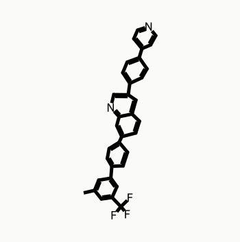 Cc1cc(-c2ccc(-c3ccc4cc(-c5ccc(-c6ccncc6)cc5)cnc4c3)cc2)cc(C(F)(F)F)c1